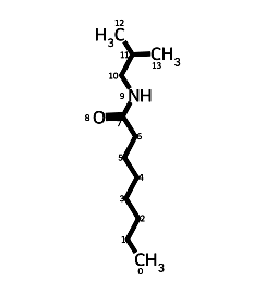 CCCCCCCC(=O)NCC(C)C